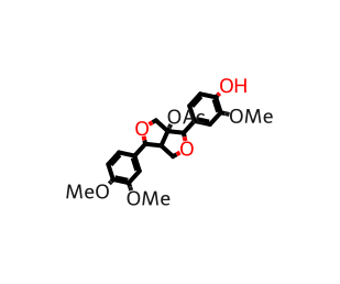 COc1cc(C2OCC3C(c4ccc(OC)c(OC)c4)OCC23OC(C)=O)ccc1O